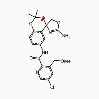 COCc1cc(Cl)cnc1C(=O)Nc1ccc2c(c1)C1(COC(N)=N1)C1(COC1)C(C)(C)O2